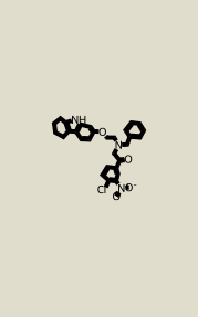 O=C(CN(CCOc1ccc2c3c([nH]c2c1)CCCC3)Cc1ccccc1)c1ccc(Cl)c([N+](=O)[O-])c1